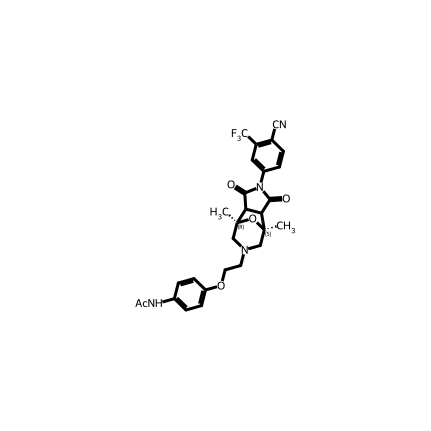 CC(=O)Nc1ccc(OCCN2C[C@@]3(C)O[C@@](C)(C2)C2C(=O)N(c4ccc(C#N)c(C(F)(F)F)c4)C(=O)C23)cc1